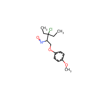 CCC(Cl)(CC)C(COc1ccc(OC)cc1)N=O